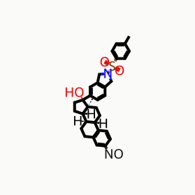 Cc1ccc(S(=O)(=O)N2Cc3ccc([C@]4(O)CC[C@H]5[C@@H]6CCc7cc(N=O)ccc7[C@H]6CC[C@@]54C)cc3C2)cc1